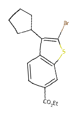 CCOC(=O)c1ccc2c(C3CCCC3)c(Br)sc2c1